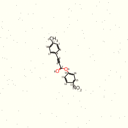 Cc1ccc(C#CC(=O)Oc2ccc([N+](=O)[O-])cc2)cc1